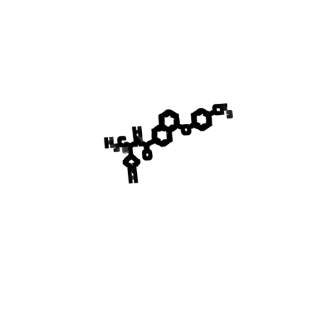 C[C@@H](NC(=O)c1ccc2c(Oc3ccc(C(F)(F)F)cc3)cccc2c1)C1CNC1